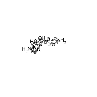 N#C[C@@]1(c2ccc3c(N)ncnn23)O[C@H](COC(=O)C[C@H]2CC[C@H](N)CC2)[C@@H](O)[C@H]1O